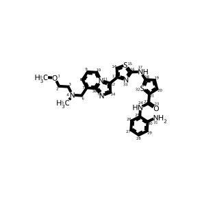 COCCN(C)Cc1cccn2c(-c3csc(Nc4ccc(C(=O)Nc5ccccc5N)s4)n3)cnc12